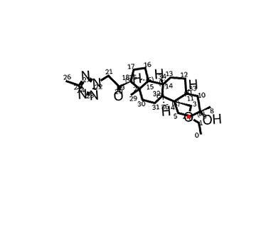 CCOC[C@]12CC[C@@](C)(O)C[C@@H]1CC[C@H]1[C@@H]3CC[C@H](C(=O)Cn4nnc(C)n4)C3(C)CC[C@@H]12